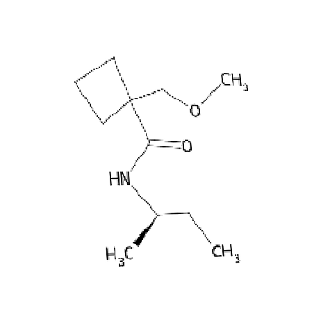 CC[C@@H](C)NC(=O)C1(COC)CCC1